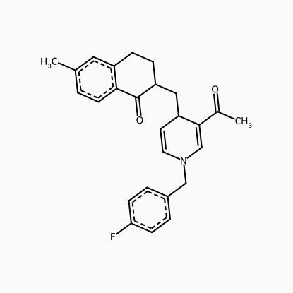 CC(=O)C1=CN(Cc2ccc(F)cc2)C=CC1CC1CCc2cc(C)ccc2C1=O